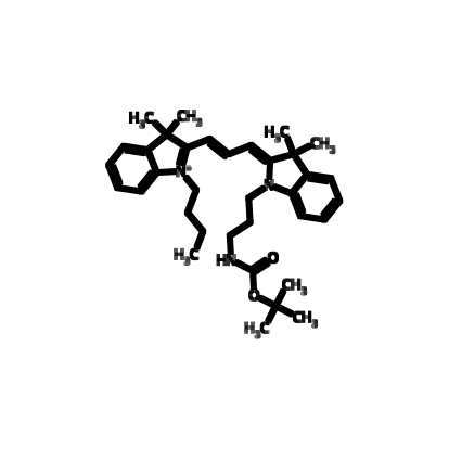 CCCC[N+]1=C(/C=C/C=C2\N(CCCNC(=O)OC(C)(C)C)c3ccccc3C2(C)C)C(C)(C)c2ccccc21